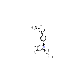 CCN(CC(N)=O)c1ccc(/N=C2\C=C(C)C(=O)C=C2NCCO)cc1